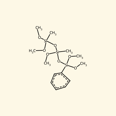 CO[Si](C)(OC)O[Si](C)(OC)O[Si](OC)(OC)c1ccccc1